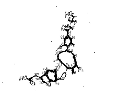 C=C1/C(F)=C\C=C(\c2c(C)cc(-c3nnn(C(C)(C)CO)n3)cc2C)CCC[C@H]1Oc1ccc2c(c1)OC[C@H]2CC(=O)O